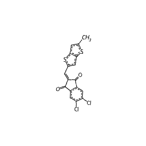 Cc1cc2sc(C=C3C(=O)c4cc(Cl)c(Cl)cc4C3=O)cc2s1